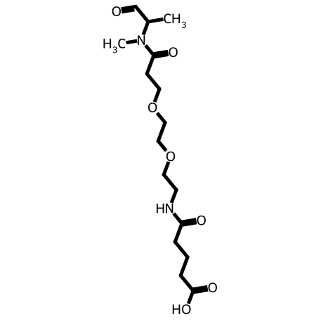 CC(C=O)N(C)C(=O)CCOCCOCCNC(=O)CCCC(=O)O